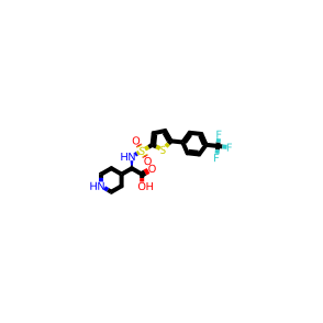 O=C(O)[C@H](NS(=O)(=O)c1ccc(-c2ccc(C(F)(F)F)cc2)s1)C1CCNCC1